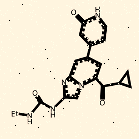 CCNC(=O)Nc1cn2c(C(=O)C3CC3)cc(-c3cc[nH]c(=O)c3)cc2n1